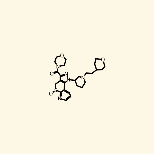 O=C(c1nn(C2CCCN(CCC3CCOCC3)C2)c2c1C[S+]([O-])c1ncccc1-2)N1CCOCC1